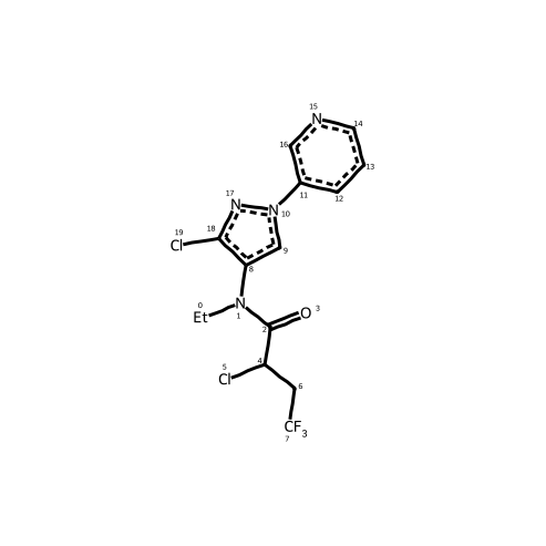 CCN(C(=O)C(Cl)CC(F)(F)F)c1cn(-c2cccnc2)nc1Cl